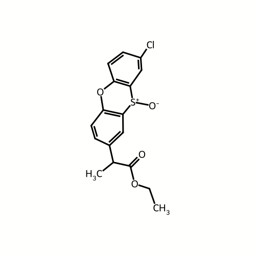 CCOC(=O)C(C)c1ccc2c(c1)[S+]([O-])c1cc(Cl)ccc1O2